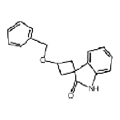 O=C1Nc2ccccc2C12CC(OCc1ccccc1)C2